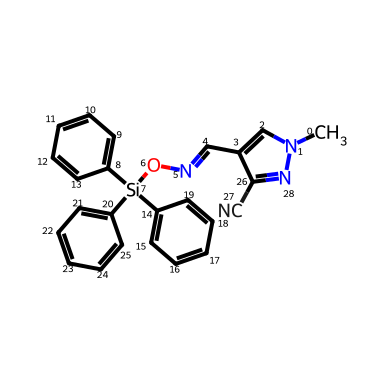 Cn1cc(C=NO[Si](c2ccccc2)(c2ccccc2)c2ccccc2)c(C#N)n1